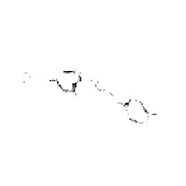 CCOC(=O)c1cnc(NCCOc2ccc(F)cc2)c(I)c1